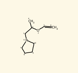 C=COC(C)CN1CCCC1